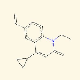 C=Cc1ccc2c(c1)C(C1CC1)=CC(=C)N2CC